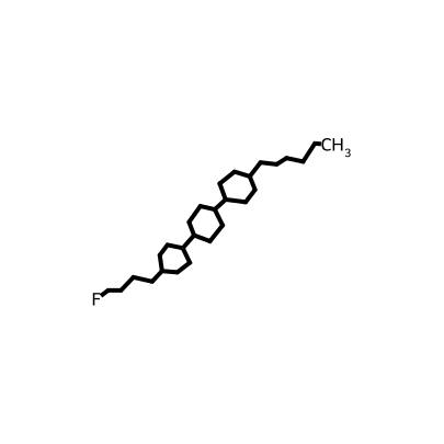 CCCCCCC1CCC(C2CCC(C3CCC(CCCCF)CC3)CC2)CC1